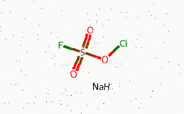 O=S(=O)(F)OCl.[NaH]